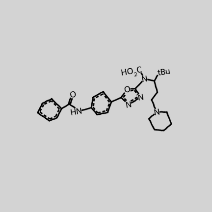 CC(C)(C)C(CCN1CCCCC1)N(C(=O)O)c1nnc(-c2ccc(NC(=O)c3ccccc3)cc2)o1